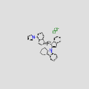 C1=C[CH]([Hf+2][CH]2C(n3c4c(c5ccccc53)CCCC4)=Cc3ccccc32)c2cccc(-n3cccc3)c21.[Cl-].[Cl-]